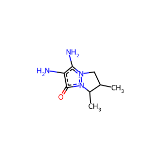 CC1Cn2c(N)c(N)c(=O)n2C1C